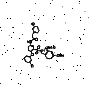 COc1ccc(CNS(=O)(=O)c2cc(NC(=O)Cc3cccc(Cl)c3)ccc2Oc2cccc(Cl)c2)c(OC)c1